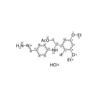 CCOc1cc(OCC)c(F)c(C(COC(C)=O)Nc2ccc(C=NN)cc2)c1.Cl